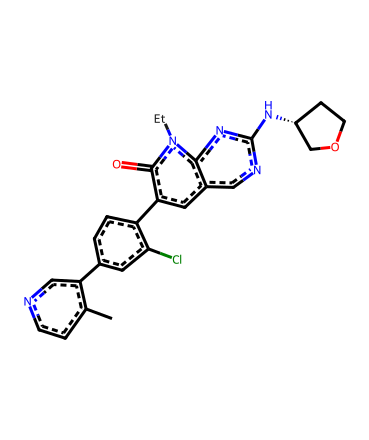 CCn1c(=O)c(-c2ccc(-c3cnccc3C)cc2Cl)cc2cnc(N[C@@H]3CCOC3)nc21